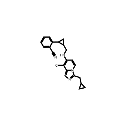 N#Cc1ccccc1C1CC1CNc1ccn2c(CC3CC3)nnc2c1Cl